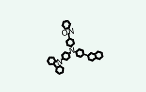 c1ccc2cc(-c3ccc(N(c4ccc(-c5nc6ccccc6o5)cc4)c4ccc(-n5c6ccccc6c6ccccc65)cc4)cc3)ccc2c1